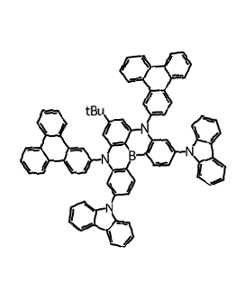 CC(C)(C)c1cc2c3c(c1)N(c1ccc4c5ccccc5c5ccccc5c4c1)c1cc(-n4c5ccccc5c5ccccc54)ccc1B3c1ccc(-n3c4ccccc4c4ccccc43)cc1N2c1ccc2c3ccccc3c3ccccc3c2c1